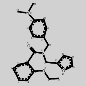 CCOc1ccccc1C(=O)N(Cc1ccc(N(C)C)cc1)Cc1ccco1